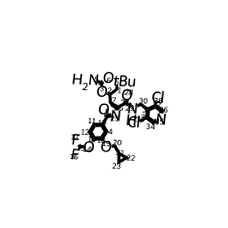 CC(C)(C)CC(OC(N)=O)c1oc(-c2ccc(OC(F)F)c(OCC3CC3)c2)nc1C(=O)NCc1c(Cl)cncc1Cl